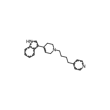 C1=C(c2c[nH]c3ccccc23)CCN(CCCCc2ccncc2)C1